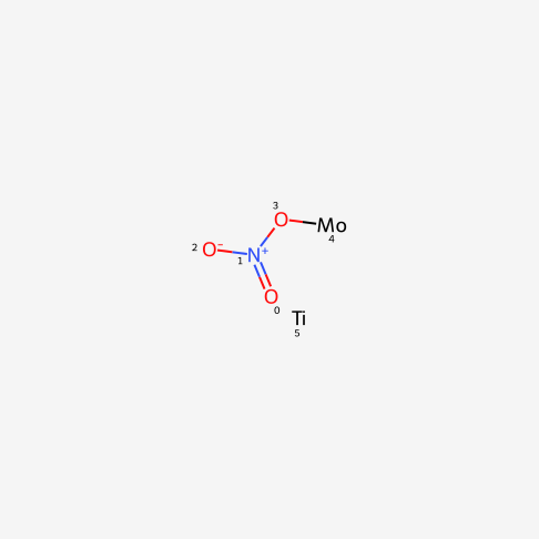 O=[N+]([O-])[O][Mo].[Ti]